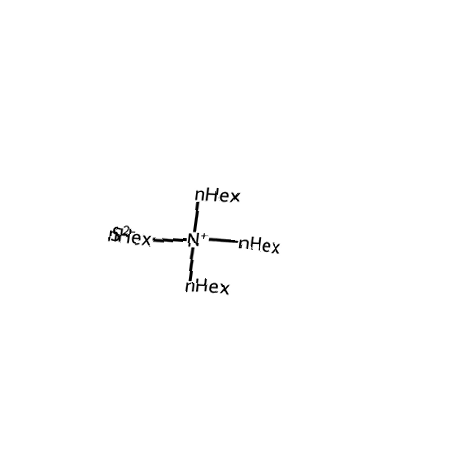 CCCCCC[N+](CCCCCC)(CCCCCC)CCCCCC.[S-2]